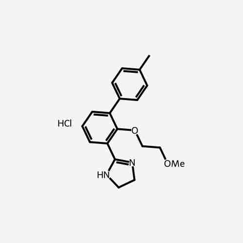 COCCOc1c(C2=NCCN2)cccc1-c1ccc(C)cc1.Cl